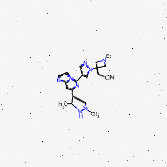 CCN1CC(CC#N)(n2cc(-c3nc(C4=CN(C)NC4C)cc4nccn34)cn2)C1